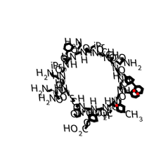 Cc1cccc(C[C@@H]2NC(=O)[C@H](CC(=O)O)NC(=O)[C@H](Cc3ccc(OCC(=O)O)cc3)NC(=O)[C@H](CN3CCOCC3)NC(=O)CSC[C@@H](C(=O)N[C@@H](CCN)C(N)=O)NC(=O)[C@H](CCCN)NC(=O)[C@H](C(C)C)NC(=O)[C@H](CC3CCCCC3)NC(=O)[C@H](CCN)NC(=O)[C@@H](CC(C)C)NC(=O)[C@H](C)N(C)C(=O)[C@H](CCC(N)=O)NC(=O)[C@H](Cc3ccc(-c4ccccc4)cc3)NC(=O)[C@H](CCc3ccccc3)NC2=O)c1